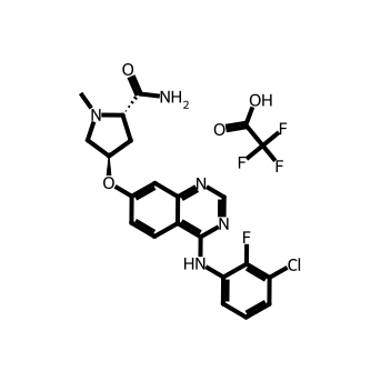 CN1C[C@H](Oc2ccc3c(Nc4cccc(Cl)c4F)ncnc3c2)C[C@H]1C(N)=O.O=C(O)C(F)(F)F